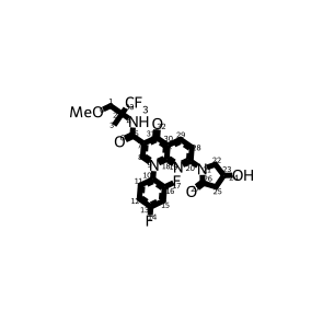 COCC(C)(NC(=O)c1cn(-c2ccc(F)cc2F)c2nc(N3CC(O)CC3=O)ccc2c1=O)C(F)(F)F